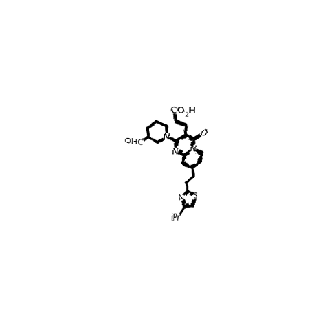 CC(C)c1csc(CCc2ccn3c(=O)c(C=CC(=O)O)c(N4CCCC(C=O)C4)nc3c2)n1